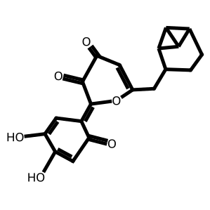 O=C1C=C(CC2CCC3C4C2C34)O/C(=C2/C=C(O)C(O)=CC2=O)C1=O